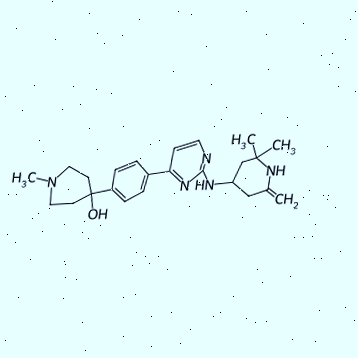 C=C1CC(Nc2nccc(-c3ccc(C4(O)CCN(C)CC4)cc3)n2)CC(C)(C)N1